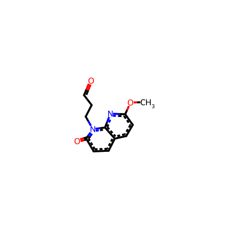 COc1ccc2ccc(=O)n(CCC=O)c2n1